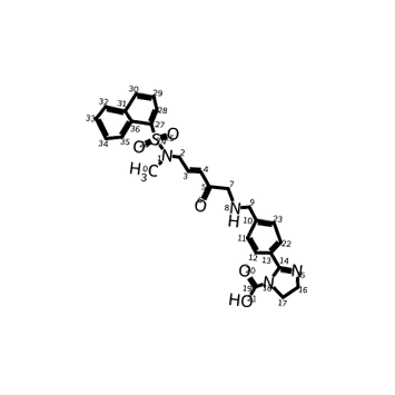 CN(CC=CC(=O)CNCc1ccc(C2=NCCN2C(=O)O)cc1)S(=O)(=O)c1cccc2ccccc12